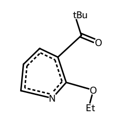 CCOc1ncccc1C(=O)C(C)(C)C